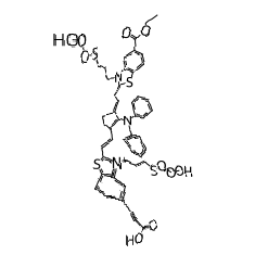 CCOC(=O)c1ccc2c(c1)N(CCCSOOO)/C(=C/C=C1\CCC(/C=C/c3sc4ccc(C#CC(=O)O)cc4[n+]3CCCSOOO)=C1N(c1ccccc1)c1ccccc1)S2